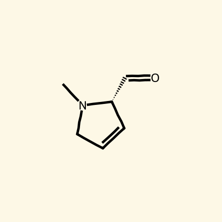 CN1CC=C[C@H]1C=O